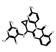 Nc1ccc(-n2c(C(Nc3nc(N)nc(N)c3Cl)C3CC3)nc3cccc(Cl)c3c2=O)cn1